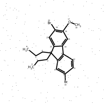 CCCC1(CCC)c2cc(Br)ccc2-c2cc(OC)c(Br)cc21